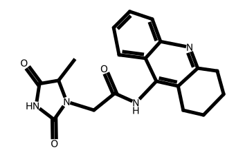 CC1C(=O)NC(=O)N1CC(=O)Nc1c2c(nc3ccccc13)CCCC2